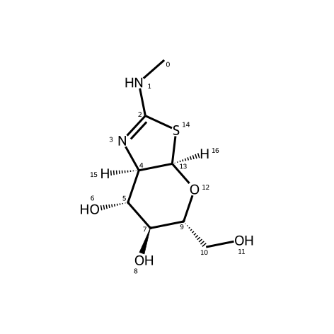 CNC1=N[C@@H]2[C@@H](O)[C@H](O)[C@@H](CO)O[C@@H]2S1